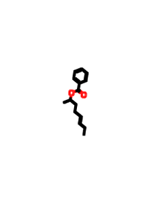 CCC=CCCC(C)OC(=O)c1ccccc1